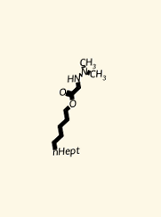 CCCCCCCCCCCCOC(=O)CNN(C)C